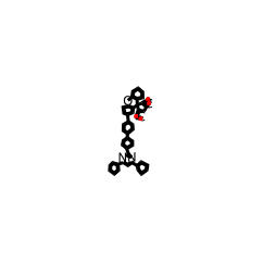 c1ccc(-c2cc(-c3ccccc3)nc(-c3ccc(-c4ccc(-c5ccc6c(c5)C5(c7ccccc7O6)c6ccccc6-c6ccccc65)cc4)cc3)n2)cc1